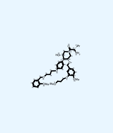 COCCCOc1cc(CO[C@H]2CN(C(=O)[C@@H](N)C(C)C)C[C@@H](O)[C@@H]2c2ccc(OCCCOCc3ccccc3OC)cc2)ccc1OC